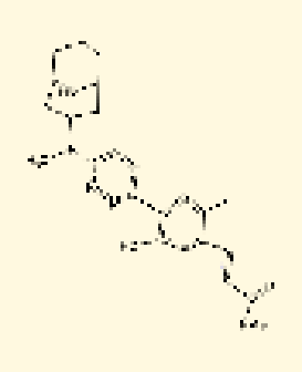 CNC(=O)/C=C/c1cc(O)c(-c2ccc(N(C)C3CC4CCCC(C3)N4)nn2)cc1F